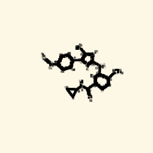 Cc1ccc(C(=O)NC2CC2)cc1Nc1nc(-c2ccc(N=O)cc2)c(Br)s1